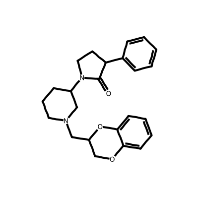 O=C1C(c2ccccc2)CCN1C1CCCN(CC2COc3ccccc3O2)C1